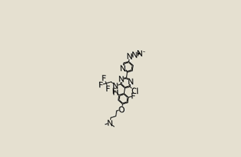 CN(C)CCCOc1cc(F)c(-c2c(Cl)nc(-c3ccc(N=[N+]=[N-])cn3)nc2NCC(F)(F)F)c(F)c1